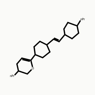 CCCC1CCC(/C=C/C2CCC(C3=CCC(CCC)CO3)CC2)CC1